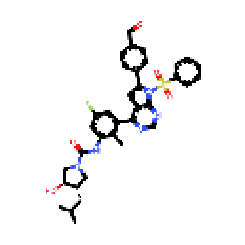 Cc1c(NC(=O)N2C[C@H](CC(C)C)[C@@H](O)C2)cc(F)cc1-c1ncnc2c1cc(-c1ccc(C=O)cc1)n2S(=O)(=O)c1ccccc1